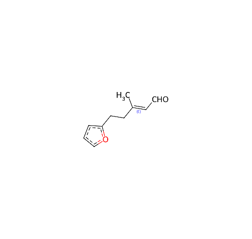 C/C(=C\C=O)CCc1ccco1